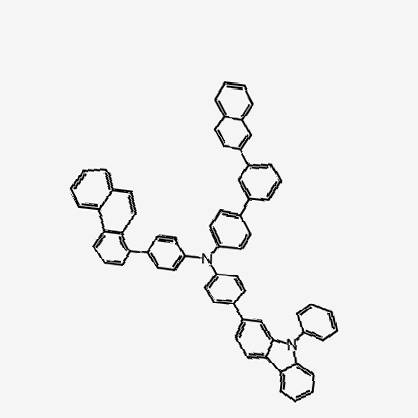 c1ccc(-n2c3ccccc3c3ccc(-c4ccc(N(c5ccc(-c6cccc(-c7ccc8ccccc8c7)c6)cc5)c5ccc(-c6cccc7c6ccc6ccccc67)cc5)cc4)cc32)cc1